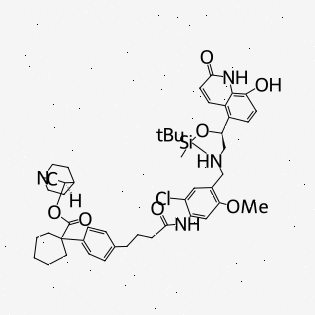 COc1cc(NC(=O)CCCc2ccc(C3(C(=O)O[C@H]4CN5CCC4CC5)CCCCC3)cc2)c(Cl)cc1CNC[C@@H](O[Si](C)(C)C(C)(C)C)c1ccc(O)c2[nH]c(=O)ccc12